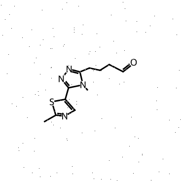 Cc1ncc(-c2nnc(CCCC=O)n2C)s1